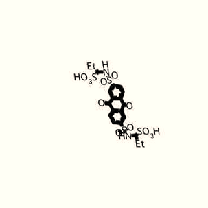 CCC(NS(=O)(=O)c1ccc2c(c1)C(=O)c1ccc(S(=O)(=O)NC(CC)S(=O)(=O)O)cc1C2=O)S(=O)(=O)O